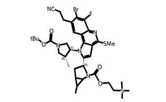 CSc1nc2c(F)c(Br)c(CCC#N)cc2c2c1cc([C@H]1CC3C(C)C3N1C(=O)OCCS(C)(C)C)n2[C@@H]1CN(C(=O)OC(C)(C)C)C[C@H]1C